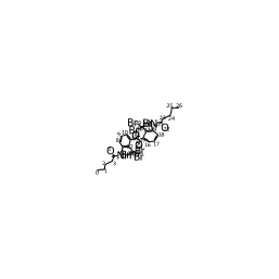 CCCCC(=O)Nc1cccc(S(=O)(=O)c2cccc(NC(=O)CCCC)c2C(Br)(Br)Br)c1C(Br)(Br)Br